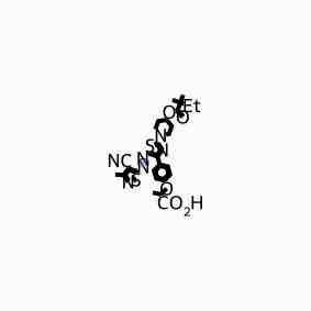 [C-]#[N+]c1c(C)nsc1/N=N/c1sc(N2CCC(OC(=O)C(C)(C)CC)CC2)nc1-c1ccc(OC(C)C(=O)O)cc1